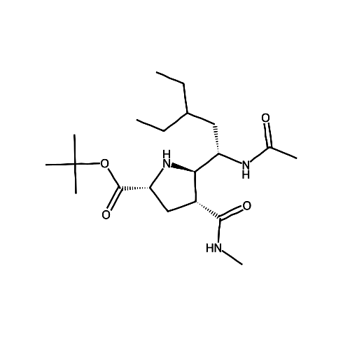 CCC(CC)C[C@H](NC(C)=O)[C@@H]1N[C@@H](C(=O)OC(C)(C)C)C[C@H]1C(=O)NC